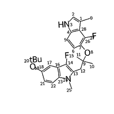 Cc1c[nH]c2ccc(OC(C)(C)Cc3c(F)c4cc(OC(C)(C)C)ccc4n3C)c(F)c12